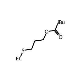 CCSCCCOC(=O)C(C)CC